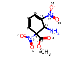 COC(=O)C1([N+](=O)[O-])C=CC=C([N+](=O)[O-])C1N